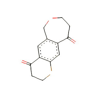 O=C1CCOCc2cc3c(cc21)SCCC3=O